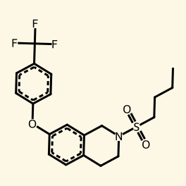 CCCCS(=O)(=O)N1CCc2ccc(Oc3ccc(C(F)(F)F)cc3)cc2C1